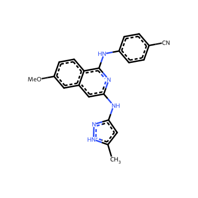 COc1ccc2c(Nc3ccc(C#N)cc3)nc(Nc3cc(C)[nH]n3)cc2c1